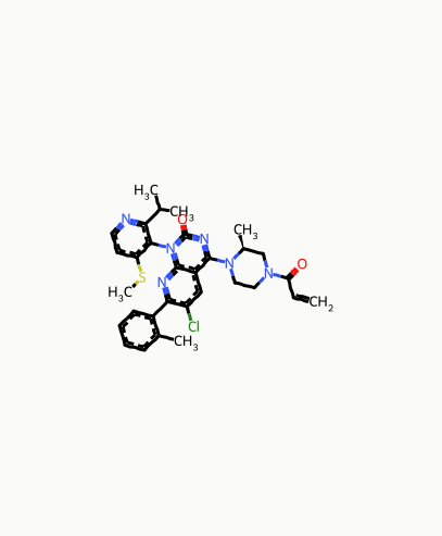 C=CC(=O)N1CCN(c2nc(=O)n(-c3c(SC)ccnc3C(C)C)c3nc(-c4ccccc4C)c(Cl)cc23)[C@@H](C)C1